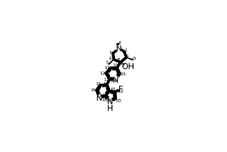 C[C@@H]1CN(C)C[C@H](C)C1(O)c1ccc(-c2ccnc3[nH]cc(F)c23)nc1